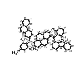 Cc1cc(C)c(N(c2ccc3c(ccc4ccccc43)c2)c2ccc3ccc4c(B(c5c(C)cccc5C)c5cccc6c5oc5ccccc56)ccc5ccc2c3c54)c(C)c1